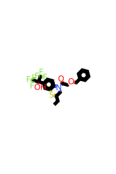 CCC1CN(C(=O)COCc2ccccc2)c2ccc(C(O)(C(F)(F)F)C(F)(F)F)cc2S1